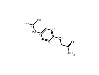 NC(=O)COc1ccc(OC(F)F)cc1